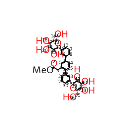 COC(=O)Cc1cc(-c2cccc([C@H]3O[C@H](CO)[C@@H](O)[C@H](O)[C@@H]3O)c2)ccc1-c1cccc([C@H]2O[C@H](CO)[C@@H](O)[C@H](O)[C@@H]2O)c1